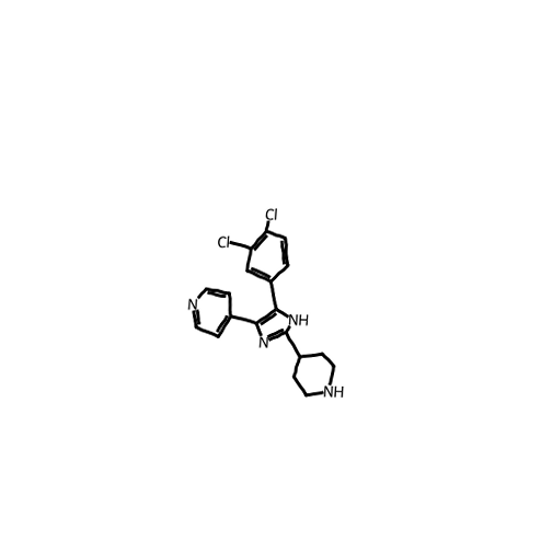 Clc1ccc(-c2[nH]c(C3CCNCC3)nc2-c2ccncc2)cc1Cl